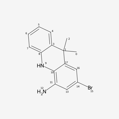 CC1(C)c2ccccc2Nc2c(N)cc(Br)cc21